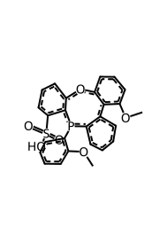 COc1ccccc1-p1c2ccccc2c2c(OC)cccc2oc2cccc(S(=O)(=O)O)c21